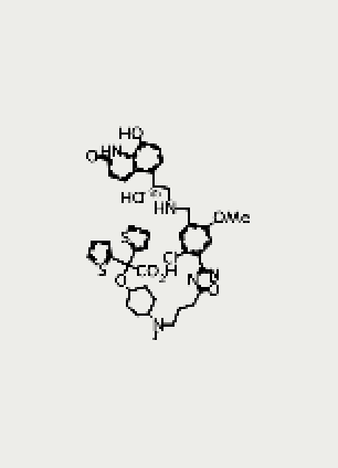 COc1cc(-c2noc(CCCN(C)[C@H]3CC[C@H](OC(C(=O)O)(c4cccs4)c4cccs4)CC3)n2)c(Cl)cc1CNC[C@H](O)c1ccc(O)c2[nH]c(=O)ccc12